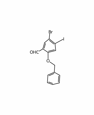 O=Cc1cc(Br)c(I)cc1OCc1ccccc1